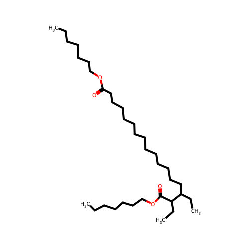 CCCCCCCOC(=O)CCCCCCCCCCCCCC(CC)C(CC)C(=O)OCCCCCCC